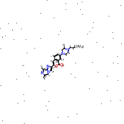 COCCN1CCN(c2ccc3cc(-c4cn5cc(C)nc(C)c5n4)oc(=O)c3c2)C[C@H]1C